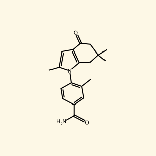 Cc1cc(C(N)=O)ccc1-n1c(C)cc2c1CC(C)(C)CC2=O